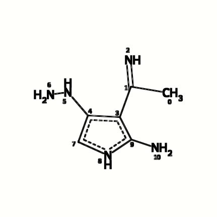 CC(=N)c1c(NN)c[nH]c1N